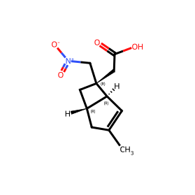 CC1=C[C@H]2[C@H](C1)C[C@]2(CC(=O)O)C[N+](=O)[O-]